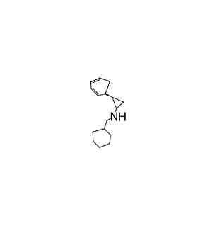 C1=CCC([C@H]2CC2NCC2CCCCC2)C=C1